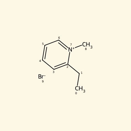 CCc1cccc[n+]1C.[Br-]